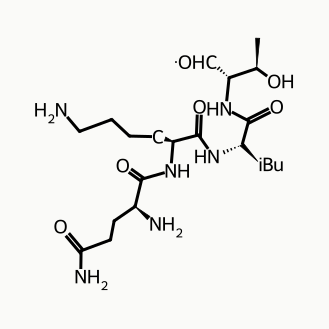 CC[C@H](C)[C@H](NC(=O)[C@H](CCCCN)NC(=O)[C@@H](N)CCC(N)=O)C(=O)N[C@H]([C]=O)[C@@H](C)O